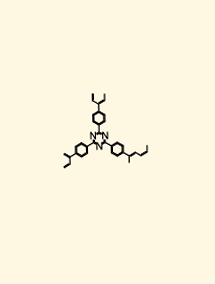 C=CC(=C)c1ccc(-c2nc(-c3ccc(/C(C)=C/C=C\C)cc3)nc(-c3ccc(/C(C=C)=C/C)cc3)n2)cc1